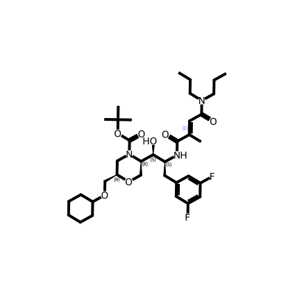 CCCN(CCC)C(=O)/C=C(\C)C(=O)N[C@@H](Cc1cc(F)cc(F)c1)[C@H](O)[C@H]1CO[C@@H](COC2CCCCC2)CN1C(=O)OC(C)(C)C